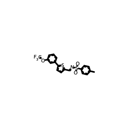 Cc1ccc(S(=O)(=O)N=Cc2ccc(-c3cccc(OC(F)(F)F)c3)s2)cc1